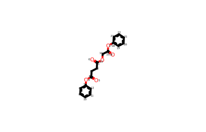 O=C(CCC(=O)Oc1ccccc1)OCC(=O)Oc1ccccc1